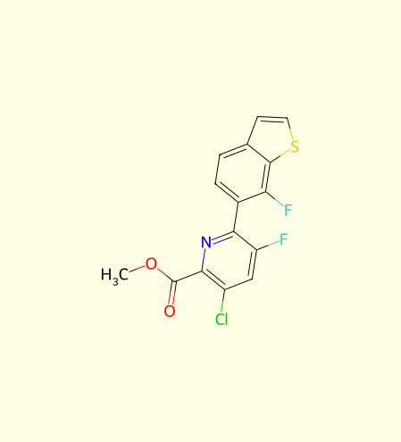 COC(=O)c1nc(-c2ccc3ccsc3c2F)c(F)cc1Cl